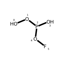 OOP(O)OF